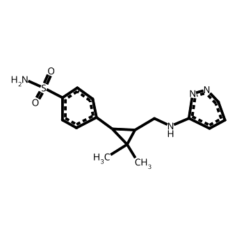 CC1(C)C(CNc2cccnn2)C1c1ccc(S(N)(=O)=O)cc1